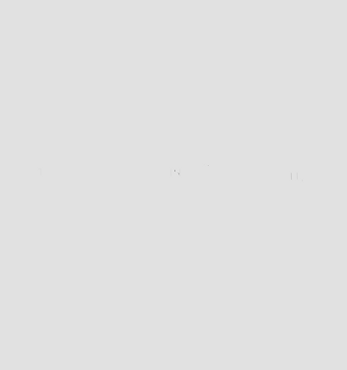 CC(C)(C)OC(=O)NCc1[c]cc(Cl)cc1